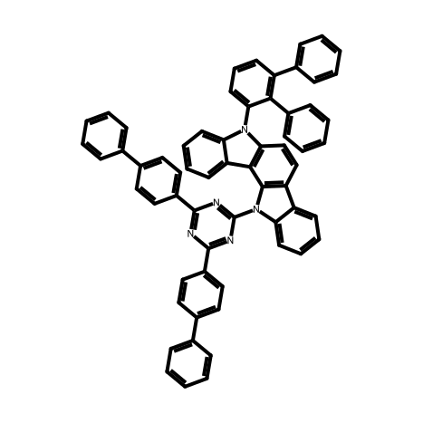 c1ccc(-c2ccc(-c3nc(-c4ccc(-c5ccccc5)cc4)nc(-n4c5ccccc5c5ccc6c(c7ccccc7n6-c6cccc(-c7ccccc7)c6-c6ccccc6)c54)n3)cc2)cc1